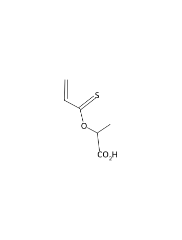 C=CC(=S)OC(C)C(=O)O